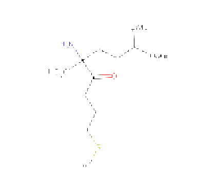 COC(CCC(N)(C(=O)O)C(=O)CCCSC(C)=O)OC